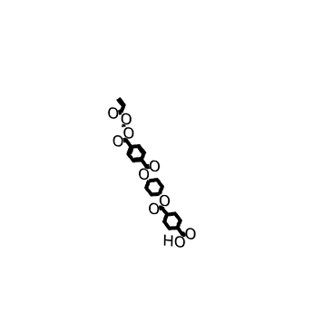 C=CC(=O)OCOC(=O)c1ccc(C(=O)OC2CCC(OC(=O)C3CCC(C(=O)O)CC3)CC2)cc1